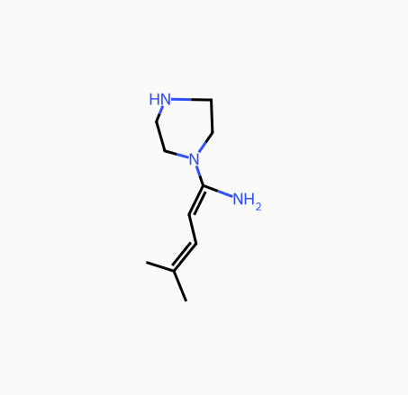 CC(C)=C/C=C(\N)N1CCNCC1